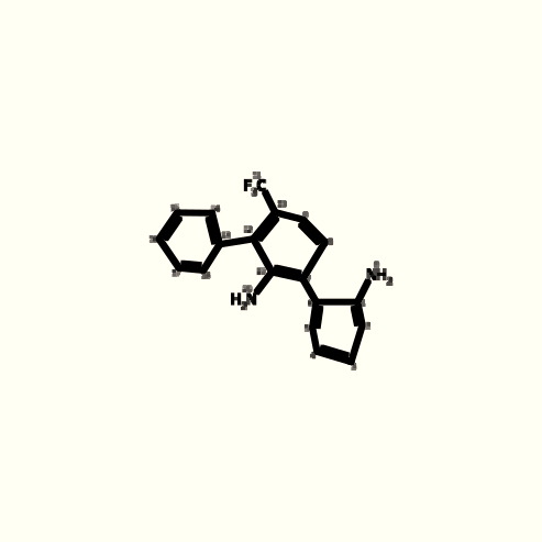 Nc1ccccc1-c1ccc(C(F)(F)F)c(-c2ccccc2)c1N